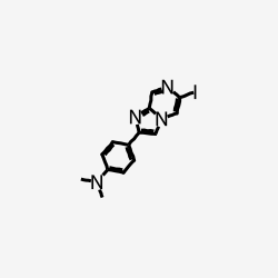 CN(C)c1ccc(-c2cn3cc(I)ncc3n2)cc1